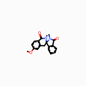 COc1ccc2c(c1)CC1(c3ccccc3C(=O)N1C)N(C)C2=O